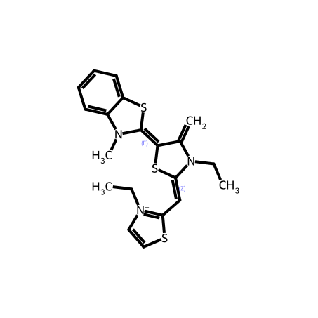 C=C1/C(=C2\Sc3ccccc3N2C)S/C(=C\c2scc[n+]2CC)N1CC